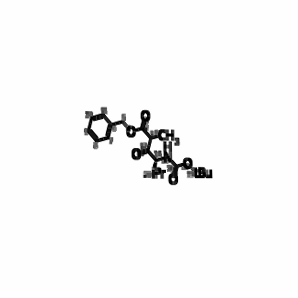 CC(C(=O)OCc1ccccc1)C(=O)[C@@H](NC(=O)OC(C)(C)C)C(C)C